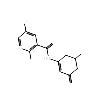 O=C1C=C(NC(=O)c2cc(C(F)(F)F)cnc2Cl)CC(C(F)(F)F)C1